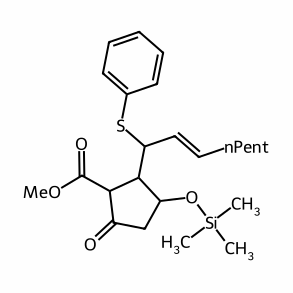 CCCCCC=CC(Sc1ccccc1)C1C(O[Si](C)(C)C)CC(=O)C1C(=O)OC